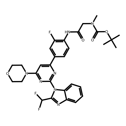 CN(CC(=O)Nc1ccc(-c2cc(N3CCOCC3)nc(-n3c(C(F)F)nc4ccccc43)n2)cc1F)C(=O)OC(C)(C)C